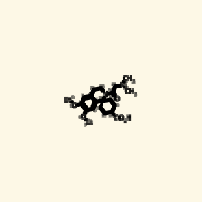 CCOc1cc2c(cc1OCC)[C@]1(CC[C@H](C(=O)O)CC1)N(C(=O)CN(C)C)CC2